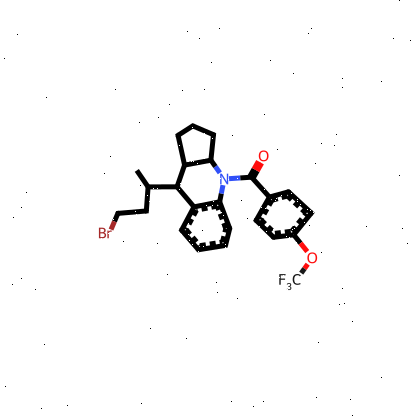 CC(CCBr)C1c2ccccc2N(C(=O)c2ccc(OC(F)(F)F)cc2)C2CCCC12